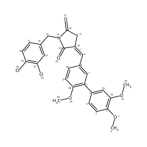 COc1ccc(-c2cc(/C=C3/SC(=O)N(Cc4ccc(Cl)c(Cl)c4)C3=O)ccc2OC)cc1OC